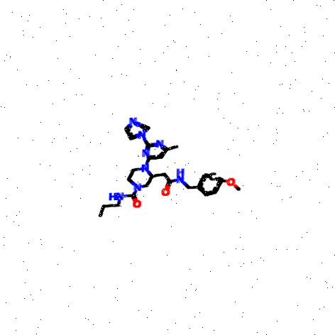 CCCNC(=O)N1CCN(c2cc(C)nc(-n3ccnc3)n2)C(CC(=O)NCc2ccc(OC)cc2)C1